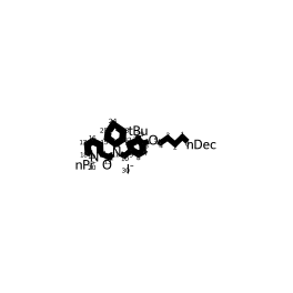 CCCCCCCCCCCCCCOc1ccc(CN(C(=O)c2cccc[n+]2CCC)c2ccccc2)cc1C(C)(C)C.[I-]